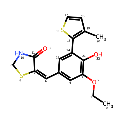 CCOc1cc(C=C2SCNC2=O)cc(-c2sccc2C)c1O